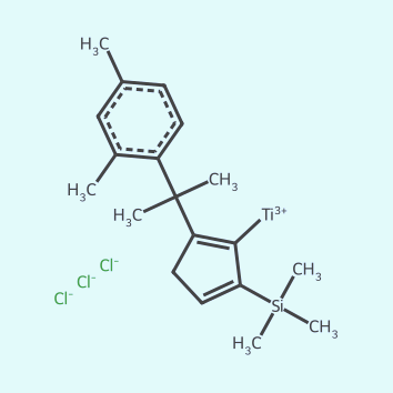 Cc1ccc(C(C)(C)C2=[C]([Ti+3])C([Si](C)(C)C)=CC2)c(C)c1.[Cl-].[Cl-].[Cl-]